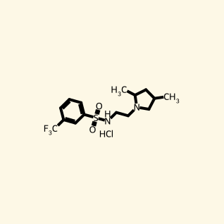 CC1CC(C)N(CCNS(=O)(=O)c2cccc(C(F)(F)F)c2)C1.Cl